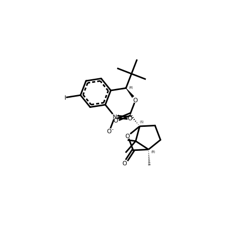 CC(C)(C)[C@@H](OC(=O)[C@@]12CC[C@@](C)(C(=O)O1)C2(C)C)c1ccc(I)cc1[N+](=O)[O-]